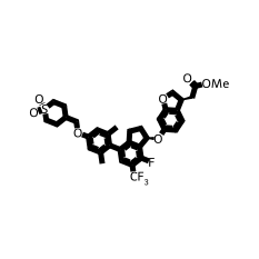 COC(=O)C[C@@H]1COc2cc(O[C@@H]3CCc4c(-c5c(C)cc(OCC6CCS(=O)(=O)CC6)cc5C)cc(C(F)(F)F)c(F)c43)ccc21